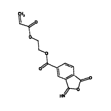 C=CC(=O)OCCOC(=O)c1ccc2c(c1)C(=N)OC2=O